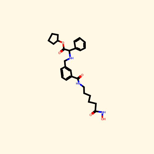 O=C(CCCCCNC(=O)c1cccc(CNC(C(=O)OC2CCCC2)c2ccccc2)c1)NO